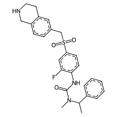 CC(c1ccccc1)N(C)C(=O)Nc1ccc(S(=O)(=O)Cc2ccc3c(c2)CCNC3)cc1F